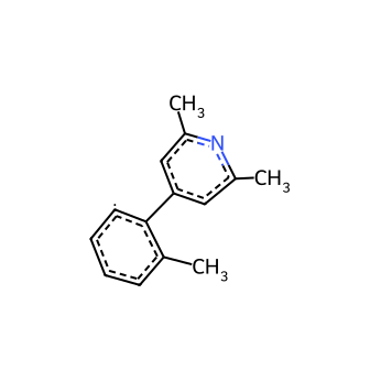 Cc1cc(-c2[c]cccc2C)cc(C)n1